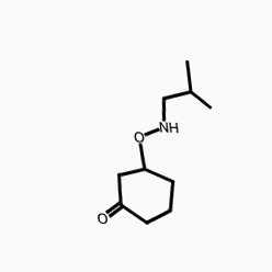 CC(C)CNOC1CCCC(=O)C1